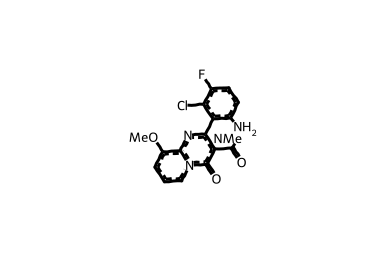 CNC(=O)c1c(-c2c(N)ccc(F)c2Cl)nc2c(OC)cccn2c1=O